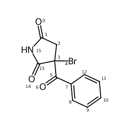 O=C1CC(Br)(C(=O)c2ccccc2)C(=O)N1